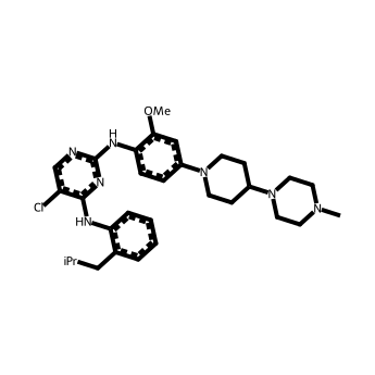 COc1cc(N2CCC(N3CCN(C)CC3)CC2)ccc1Nc1ncc(Cl)c(Nc2ccccc2CC(C)C)n1